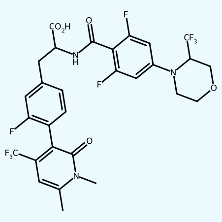 Cc1cc(C(F)(F)F)c(-c2ccc(CC(NC(=O)c3c(F)cc(N4CCOCC4C(F)(F)F)cc3F)C(=O)O)cc2F)c(=O)n1C